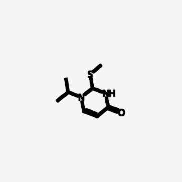 CSC1NC(=O)C=CN1C(C)C